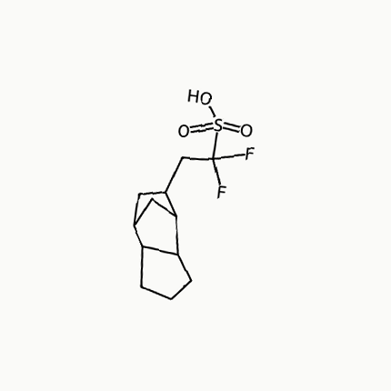 O=S(=O)(O)C(F)(F)CC1CC2CC1C1CCCC21